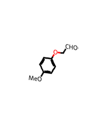 COc1ccc(OC[C]=O)cc1